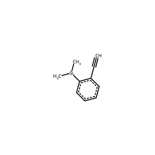 C#Cc1ccccc1[Si](C)C